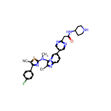 CCc1nc2ccc(-c3cnc(CC(=O)NC4CCNCC4)nc3)cn2c1N(C)c1nc(-c2ccc(F)cc2)c(C#N)s1